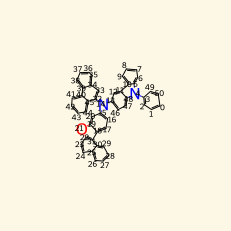 c1ccc(-n2c3ccccc3c3cc(N(c4ccc5c(c4)oc4ccc6ccccc6c45)c4cc5ccccc5c5ccccc45)ccc32)cc1